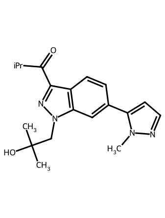 CC(C)C(=O)c1nn(CC(C)(C)O)c2cc(-c3ccnn3C)ccc12